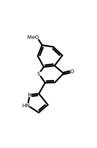 COc1ccc2c(=O)cc(-c3cc[nH]n3)sc2c1